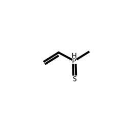 C=C[PH](C)=S